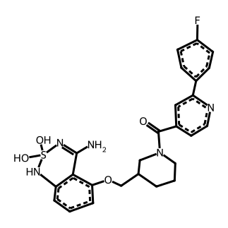 NC1=NS(O)(O)Nc2cccc(OCC3CCCN(C(=O)c4ccnc(-c5ccc(F)cc5)c4)C3)c21